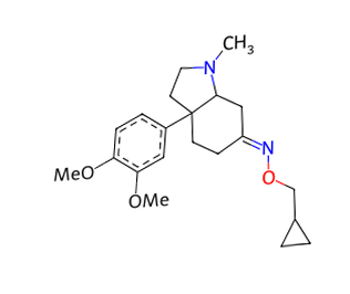 COc1ccc(C23CC/C(=N\OCC4CC4)CC2N(C)CC3)cc1OC